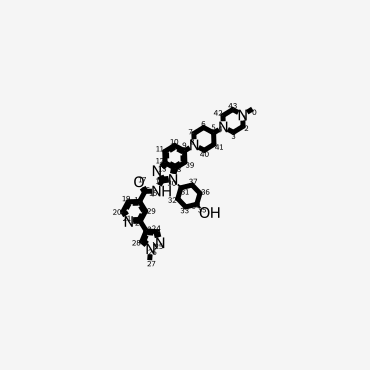 CN1CCN(C2CCN(c3ccc4nc(NC(=O)c5ccnc(-c6cnn(C)c6)c5)n([C@H]5CC[C@@H](O)CC5)c4c3)CC2)CC1